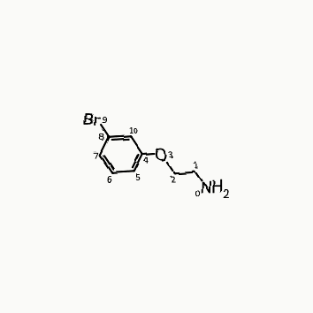 NCCOc1cccc(Br)c1